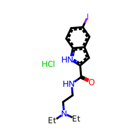 CCN(CC)CCNC(=O)c1cc2cc(I)ccc2[nH]1.Cl